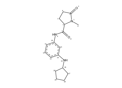 CN1C(=O)CCC1C(=O)Nc1cccc(NC2CCCC2)c1